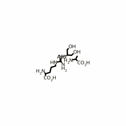 CC(=O)OC(CO)CO.CC(N)C(=O)O.N=C(N)NCCCC(N)C(=O)O